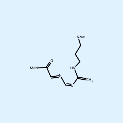 C=C(/N=C\N=C\C(=O)NC)NCCCNC